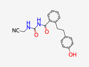 N#CCNC(=O)NC(=O)c1ccccc1CCc1ccc(O)cc1